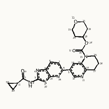 O=C(Nc1nc2ccc(-c3cnc4c(c3)N(C(=O)OC3CCOCC3)CCC4)nc2s1)C1CC1